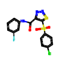 O=C(Nc1cccc(F)c1)c1nnsc1S(=O)(=O)c1ccc(Cl)cc1